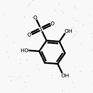 [O]S(=O)(=O)c1c(O)cc(O)cc1O